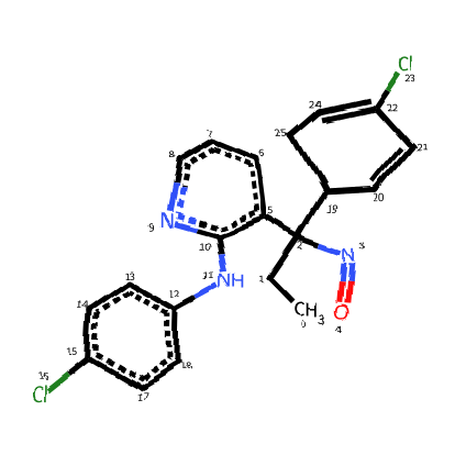 CCC(N=O)(c1cccnc1Nc1ccc(Cl)cc1)C1C=CC(Cl)=CC1